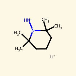 CC1(C)CCCC(C)(C)N1[NH-].[Li+]